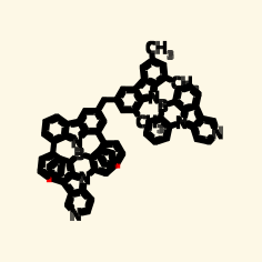 Cc1cc(C)c2c(c1)c1cc(Cc3cc(-c4ccccc4)c4c(c3)c3cccc(-c5ccccc5)c3n4B3c4ccccc4-n4c5ccncc5c5cccc3c54)cc(C)c1n2B1c2ccccc2-n2c3ccncc3c3cccc1c32